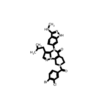 CNc1n[nH]c2cc(-n3c(=O)c4c(n5ncc(CC(C)C)c35)CN(C(=O)c3ccc(Br)c(Cl)c3)CC4)ccc12